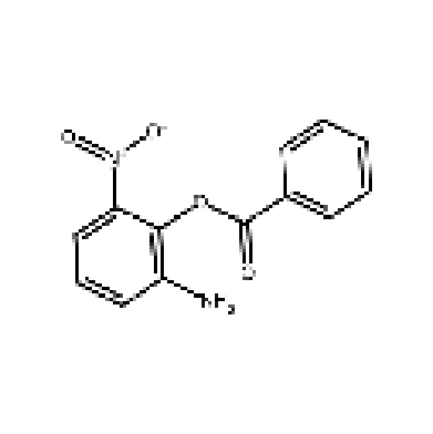 Nc1cccc([N+](=O)[O-])c1OC(=O)c1ccccc1